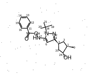 C[C@@H]1C[C@H](c2cc(NOC(=O)c3ccccc3)n(C(C)(C)C)n2)C[C@@H]1O